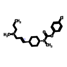 CCCN(C)C/C=C/[C@H]1CC[C@H](N(C)C(=O)Oc2ccc(Cl)cc2)CC1